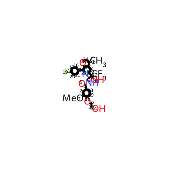 COc1cc(C(=O)NCC(O)(c2cc3c(c(-c4ccc(F)cc4)n2)OCC3C)C(F)(F)F)ccc1OCCO